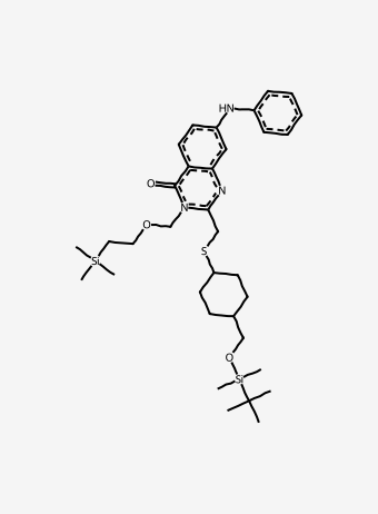 CC(C)(C)[Si](C)(C)OCC1CCC(SCc2nc3cc(Nc4ccccc4)ccc3c(=O)n2COCC[Si](C)(C)C)CC1